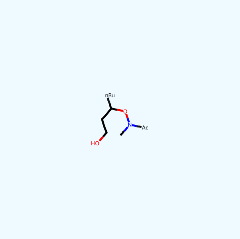 CCCCC(CCO)ON(C)C(C)=O